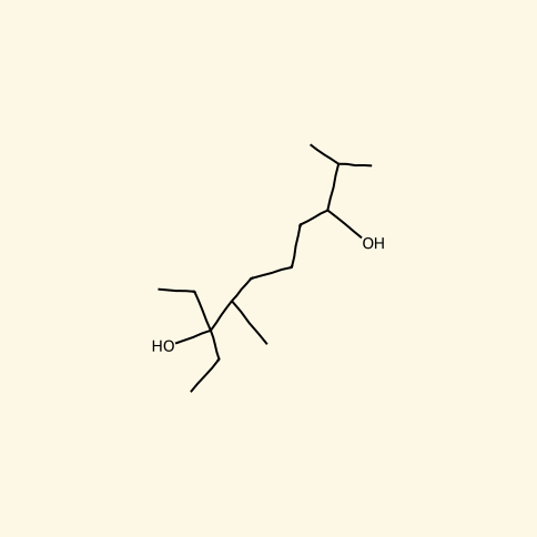 CCC(O)(CC)C(C)CCCC(O)C(C)C